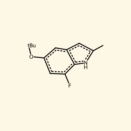 Cc1cc2cc(OC(C)(C)C)cc(F)c2[nH]1